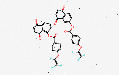 O=C(Oc1ccc2c(c1)C(=O)C=CC2=O)c1ccc(OC(F)=C(F)F)cc1.O=C(Oc1cccc2c1C(=O)C=CC2=O)c1ccc(OC(F)=C(F)F)cc1